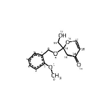 COc1ccccc1COC1(CO)CC(=O)C=CO1